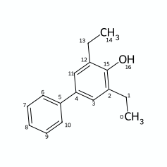 CCc1cc(-c2ccccc2)cc(CC)c1O